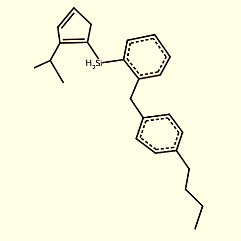 CCCCc1ccc(Cc2ccccc2[SiH2]C2=C(C(C)C)C=CC2)cc1